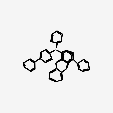 c1ccc(-c2ccc(N(c3ccccc3)c3ccc(-c4ccccc4)c4c3C3c5ccccc5C4c4ccccc43)cc2)cc1